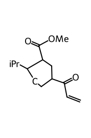 C=CC(=O)C1CCC(C(C)C)C(C(=O)OC)C1